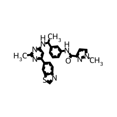 Cc1nc(NC(C)c2cccc(NC(=O)c3ccn(C)n3)c2)cc(-c2ccc3ncsc3c2)n1